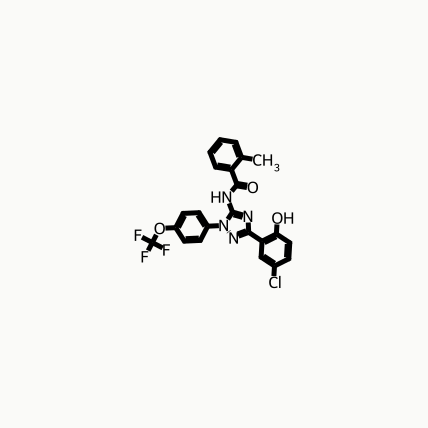 Cc1ccccc1C(=O)Nc1nc(-c2cc(Cl)ccc2O)nn1-c1ccc(OC(F)(F)F)cc1